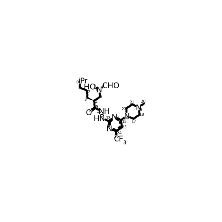 CC(C)CCC[C@@H](CN(O)C=O)C(=O)NNc1nc(N2CCN(C)CC2)cc(C(F)(F)F)n1